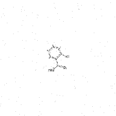 CCCCC(=O)c1ccccc1Cl